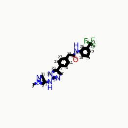 Cn1cc(Nc2ncc(-c3ccc(CC(=O)Nc4cccc(C(F)(F)F)c4)cc3)cn2)cn1